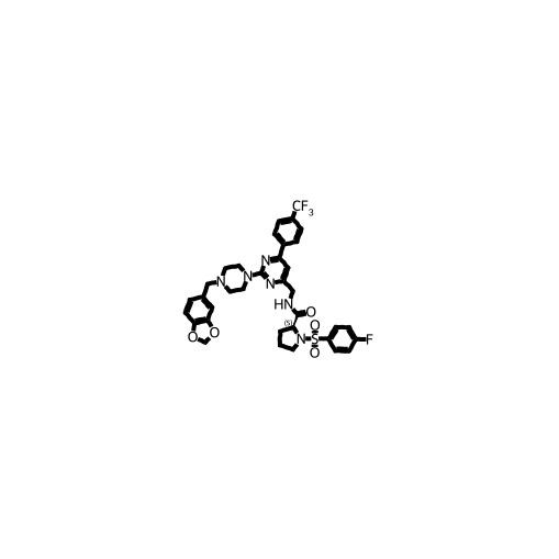 O=C(NCc1cc(-c2ccc(C(F)(F)F)cc2)nc(N2CCN(Cc3ccc4c(c3)OCO4)CC2)n1)[C@@H]1CCCN1S(=O)(=O)c1ccc(F)cc1